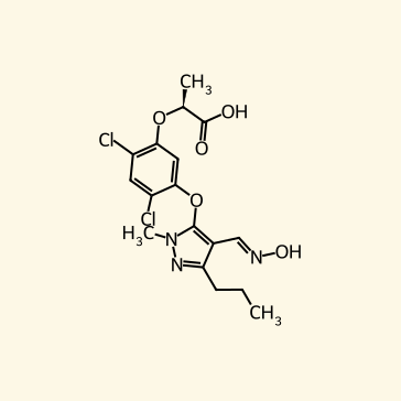 CCCc1nn(C)c(Oc2cc(O[C@@H](C)C(=O)O)c(Cl)cc2Cl)c1/C=N/O